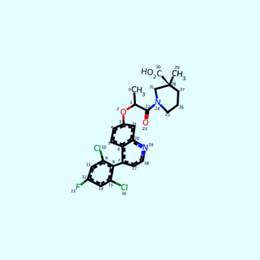 CC(Oc1ccc2c(-c3c(Cl)cc(F)cc3Cl)ccnc2c1)C(=O)N1CCC[C@](C)(C(=O)O)C1